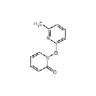 Cc1cccc(On2ccccc2=O)n1